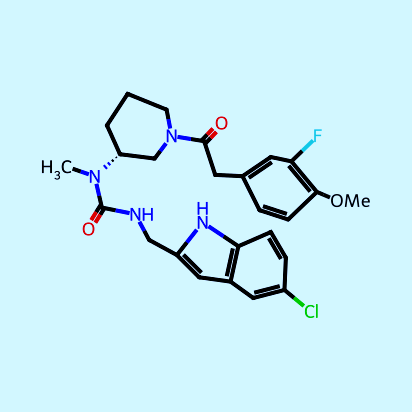 COc1ccc(CC(=O)N2CCC[C@@H](N(C)C(=O)NCc3cc4cc(Cl)ccc4[nH]3)C2)cc1F